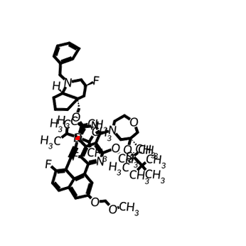 COCOc1cc(-c2nc(OC)c3c(N4CCOC[C@@](C)(O[Si](C)(C)C(C)(C)C)C4)nc(OC[C@]45CCC[C@H]4N(Cc4ccccc4)C[C@@H](F)C5)nc3c2F)c2c(C#C[Si](C(C)C)(C(C)C)C(C)C)c(F)ccc2c1